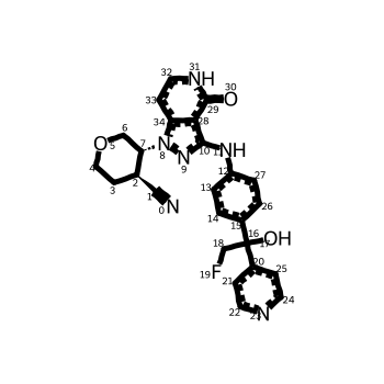 N#C[C@H]1CCOC[C@@H]1n1nc(Nc2ccc(C(O)(CF)c3ccncc3)cc2)c2c(=O)[nH]ccc21